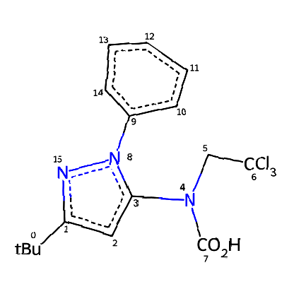 CC(C)(C)c1cc(N(CC(Cl)(Cl)Cl)C(=O)O)n(-c2ccccc2)n1